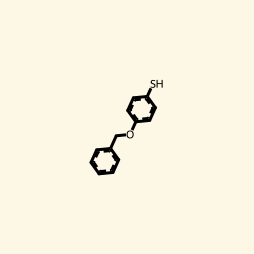 Sc1ccc(OCc2ccccc2)cc1